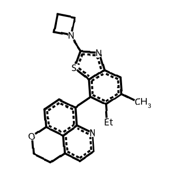 CCc1c(C)cc2nc(N3CCC3)sc2c1-c1ccc2c3c(ccnc13)CCO2